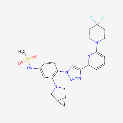 CS(=O)(=O)Nc1ccc(-n2cc(-c3cccc(N4CCC(F)(F)CC4)n3)nn2)c(N2CC3CC3C2)c1